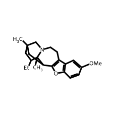 CCC1CC2(C)CC3c4oc5ccc(OC)cc5c4CCN(C2)C13C